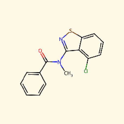 CN(C(=O)c1ccccc1)c1nsc2cccc(Cl)c12